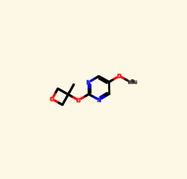 CCCCOc1cnc(OC2(C)COC2)nc1